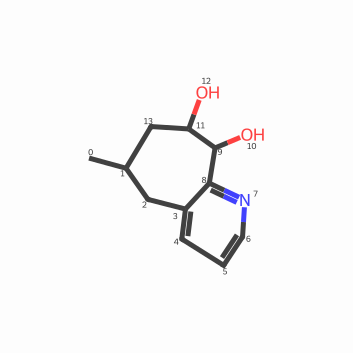 CC1Cc2cccnc2C(O)C(O)C1